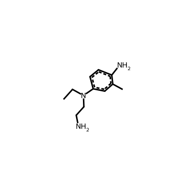 CCN(CCN)c1ccc(N)c(C)c1